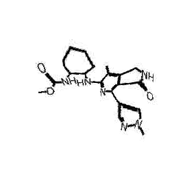 COC(=O)N[C@H]1CCCC[C@H]1Nc1nc(-c2cnn(C)c2)c2c(c1C)CNC2=O